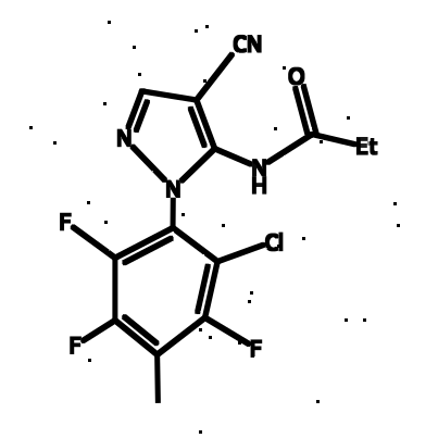 CCC(=O)Nc1c(C#N)cnn1-c1c(F)c(F)c(C)c(F)c1Cl